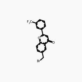 O=c1cc(-c2cccc(C(F)(F)F)c2)oc2ccc(CBr)cc12